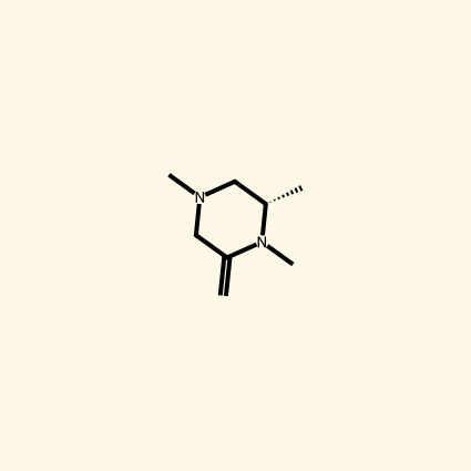 C=C1CN(C)C[C@H](C)N1C